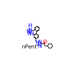 CCCCCc1nc(C(=O)CC2CCCCC2)nn1Cc1ccc(-c2ccccc2-c2nnn[nH]2)cc1